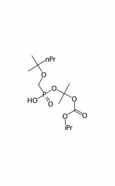 CCCC(C)(C)OCP(=O)(O)OC(C)(C)OC(=O)OC(C)C